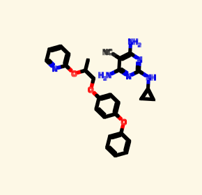 CC(COc1ccc(Oc2ccccc2)cc1)Oc1ccccn1.N#Cc1c(N)nc(NC2CC2)nc1N